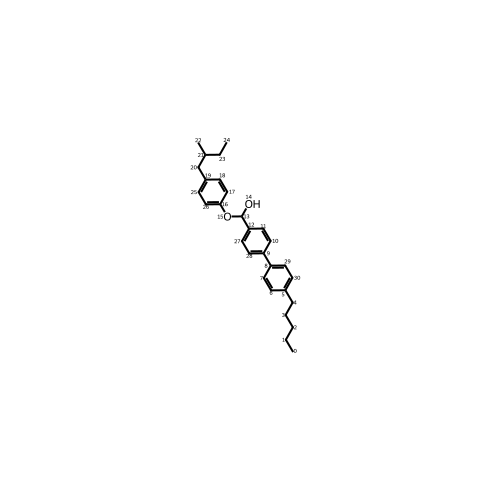 CCCCCc1ccc(-c2ccc(C(O)Oc3ccc(CC(C)CC)cc3)cc2)cc1